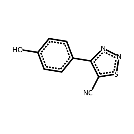 N#Cc1snnc1-c1ccc(O)cc1